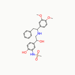 COc1ccc(C(Cc2ccccc2)NCC(O)c2ccc(O)c(NS(C)(=O)=O)c2)cc1OC